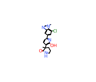 Cn1cnc2cc(-c3ccc(C4(C)CCCNC4=O)c(O)n3)cc(Cl)c21